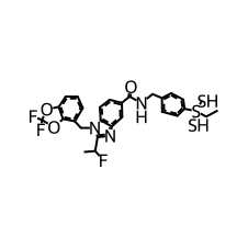 CCS(S)(S)c1ccc(CNC(=O)c2ccc3c(c2)nc(C(C)F)n3Cc2cccc3c2OC(F)(F)O3)cc1